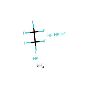 F.F.F.F.FC(F)(F)C(F)(F)F.[SiH4]